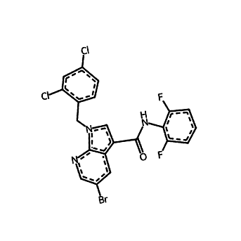 O=C(Nc1c(F)cccc1F)c1cn(Cc2ccc(Cl)cc2Cl)c2ncc(Br)cc12